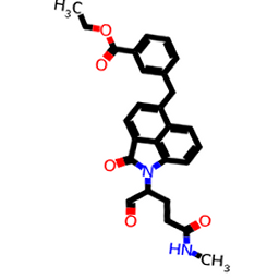 CCOC(=O)c1cccc(Cc2ccc3c4c(cccc24)N(C(C=O)CCC(=O)NC)C3=O)c1